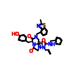 C=CCN(C(=O)NCc1ccccc1)N1CC(=O)N2[C@@H](Cc3ccc(O)cc3)C(=O)N(Cc3cccc4sc(C)nc34)C[C@@H]21